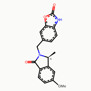 COc1ccc2c(c1)[C@H](C)N(Cc1ccc3[nH]c(=O)oc3c1)C2=O